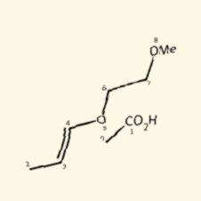 CC(=O)O.CC=COCCOC